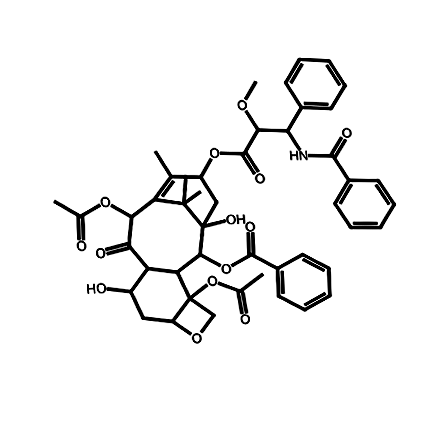 COC(C(=O)OC1CC2(O)C(OC(=O)c3ccccc3)C3C(C(=O)C(OC(C)=O)C(=C1C)C2(C)C)C(O)CC1OCC13OC(C)=O)C(NC(=O)c1ccccc1)c1ccccc1